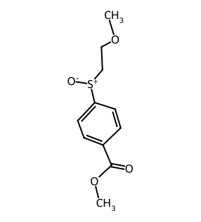 COCC[S+]([O-])c1ccc(C(=O)OC)cc1